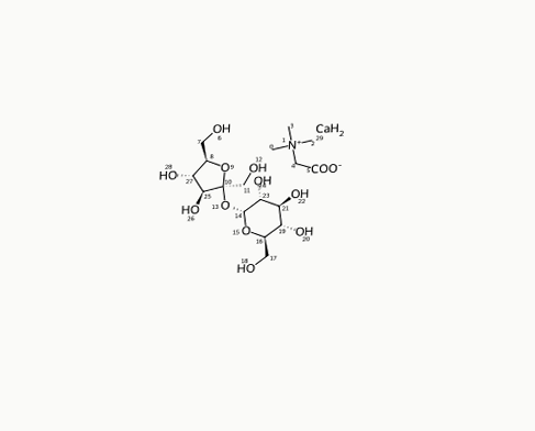 C[N+](C)(C)CC(=O)[O-].OC[C@H]1O[C@@](CO)(O[C@H]2O[C@H](CO)[C@@H](O)[C@H](O)[C@H]2O)[C@@H](O)[C@@H]1O.[CaH2]